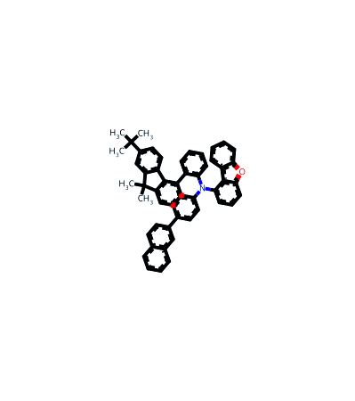 CC(C)(C)c1ccc2c(c1)C(C)(C)c1cccc(-c3ccccc3N(c3ccc(-c4ccc5ccccc5c4)cc3)c3cccc4oc5ccccc5c34)c1-2